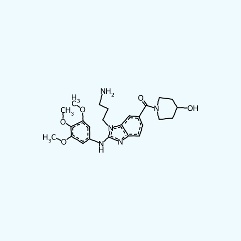 COc1cc(Nc2nc3ccc(C(=O)N4CCC(O)CC4)cc3n2CCCN)cc(OC)c1OC